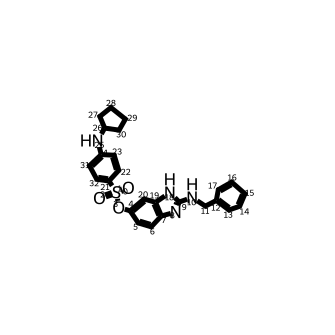 O=S(=O)(Oc1ccc2nc(NCc3ccccc3)[nH]c2c1)c1ccc(NC2CCCC2)cc1